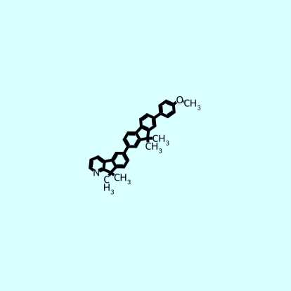 COc1ccc(-c2ccc3c(c2)C(C)(C)c2cc(-c4ccc5c(c4)-c4cccnc4C5(C)C)ccc2-3)cc1